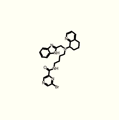 O=C(NCCCCN(Cc1nc2ccccc2[nH]1)C1CCCc2cccnc21)c1cncc(Br)n1